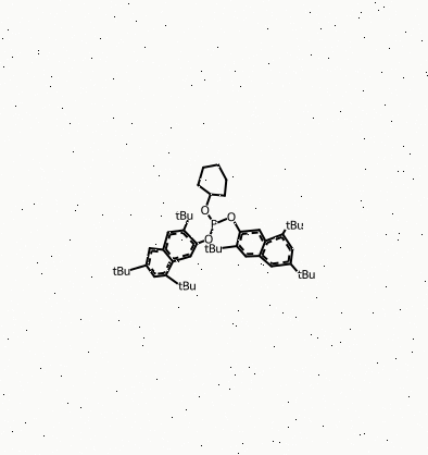 CC(C)(C)c1cc(C(C)(C)C)c2cc(OP(Oc3cc4c(C(C)(C)C)cc(C(C)(C)C)cc4cc3C(C)(C)C)OC3CCCCC3)c(C(C)(C)C)cc2c1